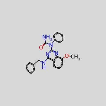 COc1cccc2c(NCc3ccccc3)nc(N(C(N)=O)c3ccccc3)nc12